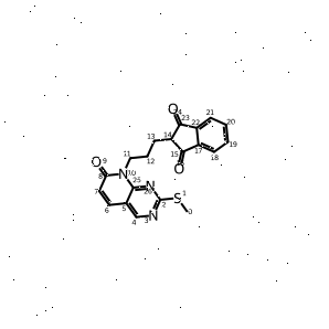 CSc1ncc2ccc(=O)n(CCCC3C(=O)c4ccccc4C3=O)c2n1